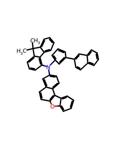 CC1(C)c2ccccc2-c2c(N(c3cccc(-c4ccc5ccccc5c4)c3)c3ccc4c(ccc5oc6ccccc6c54)c3)cccc21